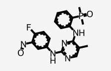 Cc1cnc(Nc2ccc(F)c(N=O)c2)nc1Nc1ccccc1P(C)(C)=O